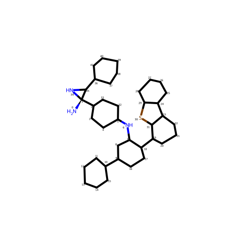 N[C@@]1(C2CCC(NC3CC(C4CCCCC4)CCC3C3CCCC4C5CCCCC5SC34)CC2)NC1C1CCCCC1